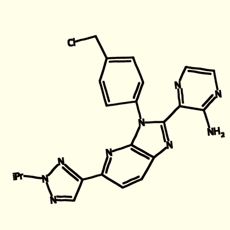 CC(C)n1ncc(-c2ccc3nc(-c4nccnc4N)n(-c4ccc(CCl)cc4)c3n2)n1